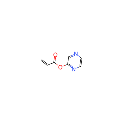 C=CC(=O)Oc1cnccn1